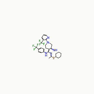 C/C(=N\C(Nc1ccc(C(F)(F)F)cc1)=C1\CCN(c2ncccc2C(F)(F)F)CCC1=N)SC1CCCCC1